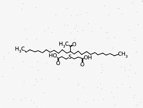 CCCCCCCCCCCCC(CCCCCCCCCCCC)C(C)=O.O=C(O)CCSCCC(=O)O